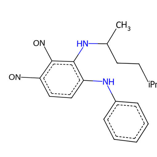 CC(C)CCC(C)Nc1c(Nc2ccccc2)ccc(N=O)c1N=O